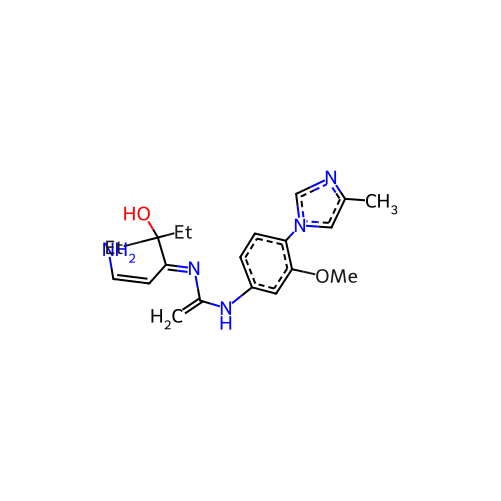 C=C(/N=C(\C=C/N)C(O)(CC)CC)Nc1ccc(-n2cnc(C)c2)c(OC)c1